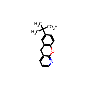 CC(C)(C(=O)O)c1ccc2c(c1)Cc1cccnc1O2